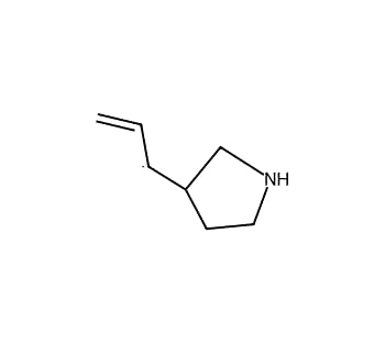 C=C[CH]C1CCNC1